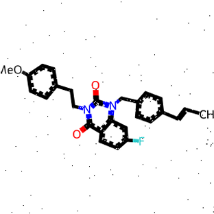 C/C=C/c1ccc(Cn2c(=O)n(CCc3ccc(OC)cc3)c(=O)c3ccc(F)cc32)cc1